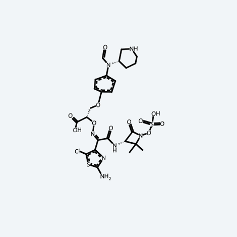 CC1(C)[C@H](NC(=O)/C(=N\O[C@@H](COc2ccc(N(C=O)[C@H]3CCCNC3)cc2)C(=O)O)c2nc(N)sc2Cl)C(=O)N1OS(=O)(=O)O